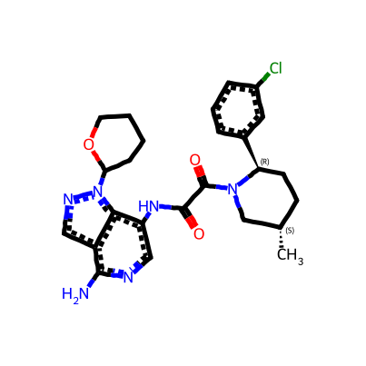 C[C@H]1CC[C@H](c2cccc(Cl)c2)N(C(=O)C(=O)Nc2cnc(N)c3cnn(C4CCCCO4)c23)C1